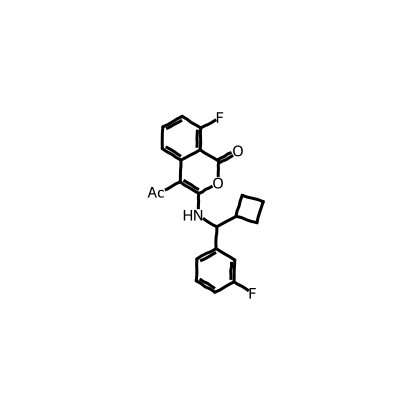 CC(=O)c1c(NC(c2cccc(F)c2)C2CCC2)oc(=O)c2c(F)cccc12